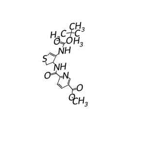 COC(=O)c1ccc(C(=O)NC2CSC=C2NC(=O)OC(C)(C)C)nc1